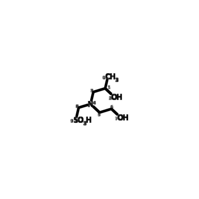 CC(O)CN(CCO)CS(=O)(=O)O